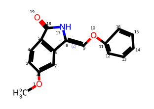 COc1ccc2c(c1)/C(=C/Oc1ccccc1)NC2=O